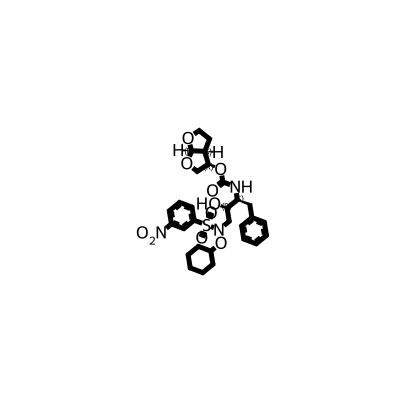 O=C(N[C@@H](Cc1ccccc1)[C@H](O)CN(OC1CCCCC1)S(=O)(=O)c1cccc([N+](=O)[O-])c1)O[C@H]1CO[C@H]2OCC[C@H]21